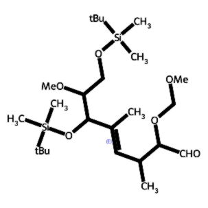 COCOC(C=O)C(C)/C=C(\C)C(O[Si](C)(C)C(C)(C)C)C(CO[Si](C)(C)C(C)(C)C)OC